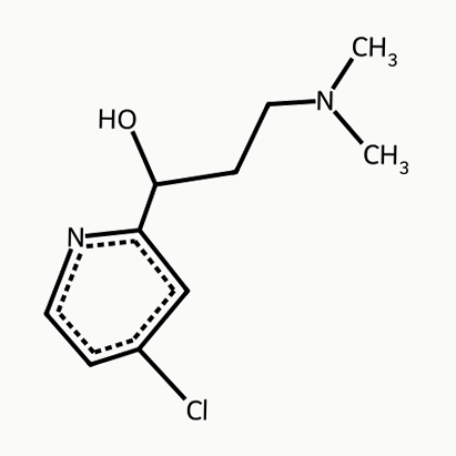 CN(C)CCC(O)c1cc(Cl)ccn1